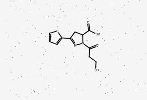 O=C(O)C1CC(c2ccco2)=NN1C(=O)CCS